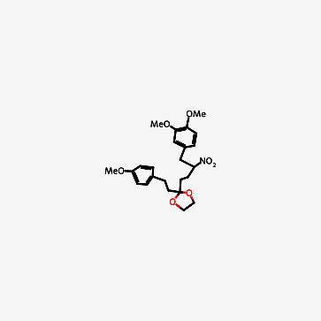 COc1ccc(CCC2(CCC(Cc3ccc(OC)c(OC)c3)[N+](=O)[O-])OCCO2)cc1